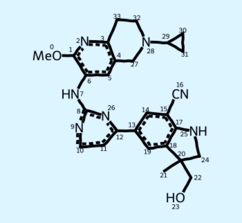 COc1nc2c(cc1Nc1nccc(-c3cc(C#N)c4c(c3)C(C)(CO)CN4)n1)CN(C1CC1)CC2